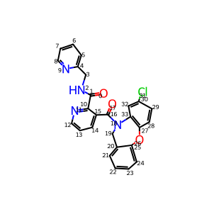 O=C(NCc1ccccn1)c1ncccc1C(=O)N1Cc2ccccc2Oc2ccc(Cl)cc21